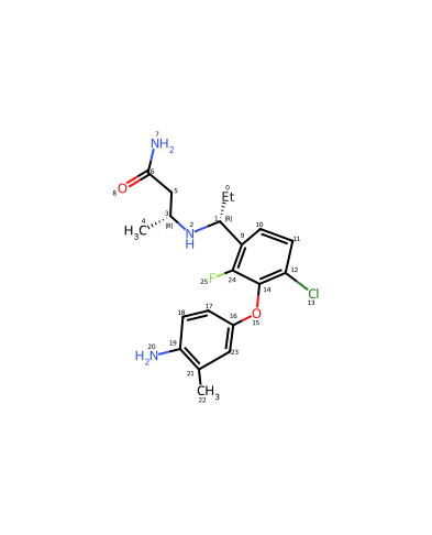 CC[C@@H](N[C@H](C)CC(N)=O)c1ccc(Cl)c(Oc2ccc(N)c(C)c2)c1F